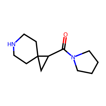 O=C(C1CC12CCNCC2)N1CCCC1